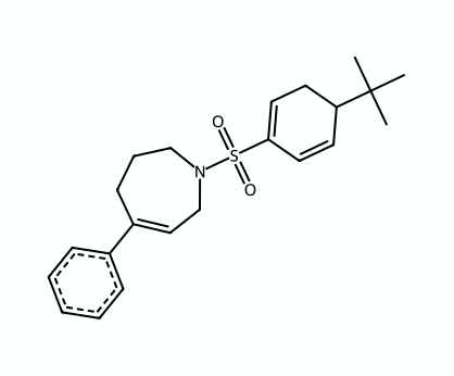 CC(C)(C)C1C=CC(S(=O)(=O)N2CC=C(c3ccccc3)CCC2)=CC1